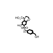 O=C(O)N1CCOc2cc(S(=O)(=O)Nc3ccc(CO)cc3)c(O)cc21